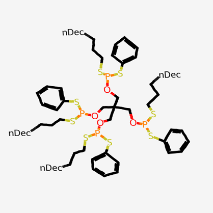 CCCCCCCCCCCCCSP(OCC(COP(SCCCCCCCCCCCCC)Sc1ccccc1)(COP(SCCCCCCCCCCCCC)Sc1ccccc1)COP(SCCCCCCCCCCCCC)Sc1ccccc1)Sc1ccccc1